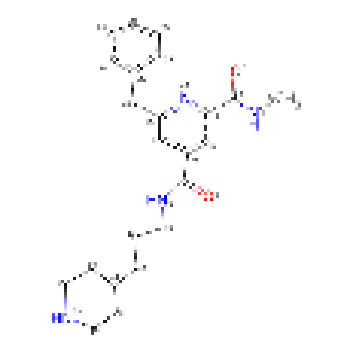 CNC(=O)c1cc(C(=O)NCCCC2CCNCC2)cc(Cc2ccccc2)n1